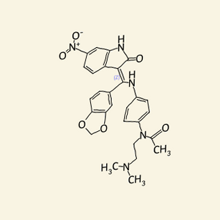 CC(=O)N(CCN(C)C)c1ccc(N/C(=C2\C(=O)Nc3cc([N+](=O)[O-])ccc32)c2ccc3c(c2)OCO3)cc1